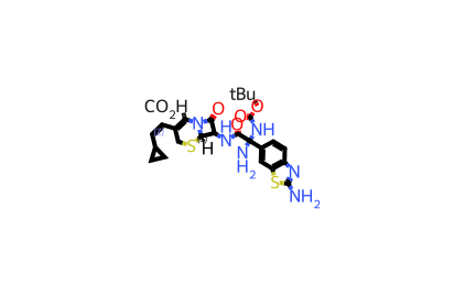 CC(C)(C)OC(=O)NC(N)(C(=O)NC1C(=O)N2C(C(=O)O)=C(/C=C\C3CC3)CS[C@@H]12)c1ccc2nc(N)sc2c1